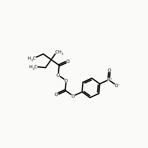 CCC(C)(CC)C(=O)OOC(=O)Oc1ccc([N+](=O)[O-])cc1